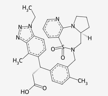 CCn1nnc2c(C)c([C@@H](CC(=O)O)c3ccc(C)c(CN4C[C@@H]5CCCN5c5ncccc5S4(=O)=O)c3)ccc21